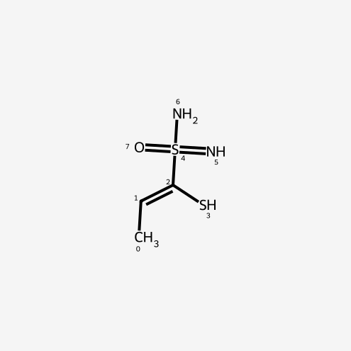 C/C=C(\S)S(=N)(N)=O